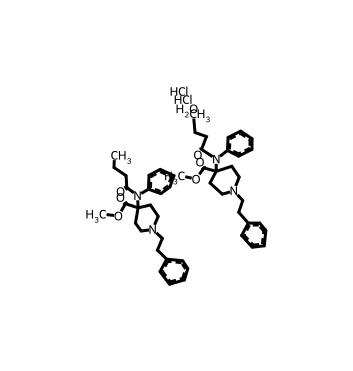 CCCC(=O)N(c1ccccc1)C1(C(=O)OC)CCN(CCc2ccccc2)CC1.CCCC(=O)N(c1ccccc1)C1(C(=O)OC)CCN(CCc2ccccc2)CC1.Cl.Cl.O